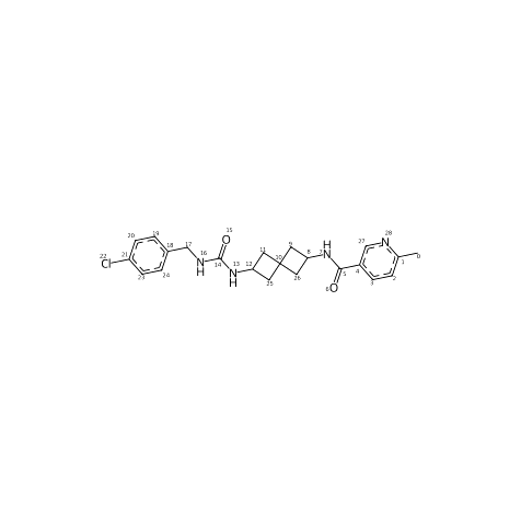 Cc1ccc(C(=O)NC2CC3(CC(NC(=O)NCc4ccc(Cl)cc4)C3)C2)cn1